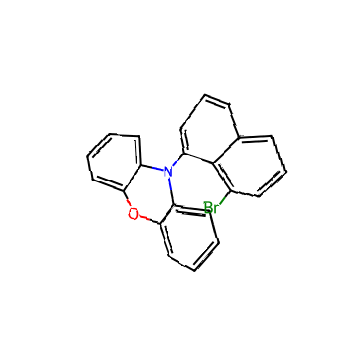 Brc1cccc2cccc(N3c4ccccc4Oc4ccccc43)c12